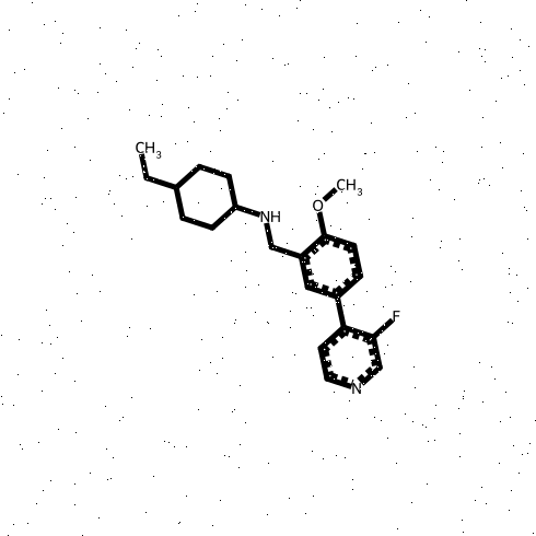 CCC1CCC(NCc2cc(-c3ccncc3F)ccc2OC)CC1